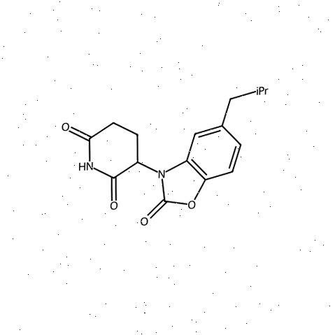 CC(C)Cc1ccc2oc(=O)n(C3CCC(=O)NC3=O)c2c1